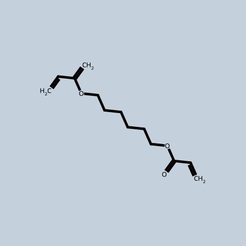 C=CC(=C)OCCCCCCOC(=O)C=C